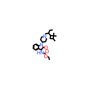 CCOC(=O)NC1C(=O)N(C2CCN(CC(CC)C3CC(C)C3(C)C)CC2)c2ccccc21